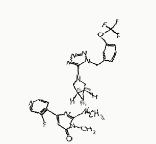 CN(c1nc(-c2ccncc2F)cc(=O)n1C)[C@@H]1[C@@H]2CN(c3nnnn3Cc3cccc(OC(F)(F)F)c3)C[C@@H]21